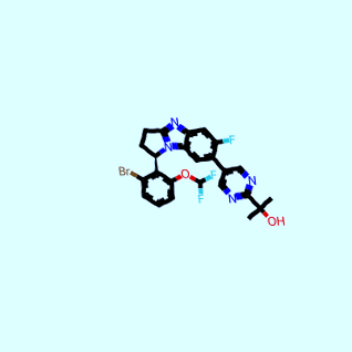 CC(C)(O)c1ncc(-c2cc3c(cc2F)nc2n3[C@@H](c3c(Br)cccc3OC(F)F)CC2)cn1